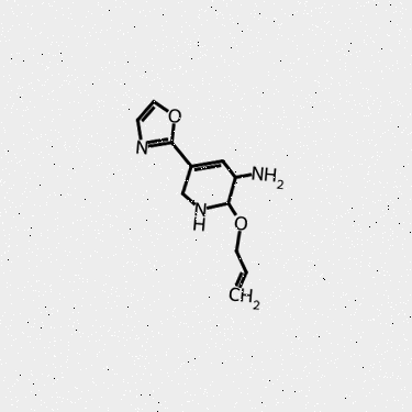 C=CCOC1NCC(c2ncco2)=CC1N